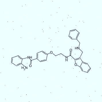 Nc1ccccc1NC(=O)c1ccc(OCCNC(=O)c2oc3ccccc3c2CNCc2ccccc2)cc1